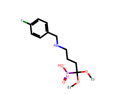 CCOC(CCCNCc1ccc(F)cc1)(OCC)[PH](=O)O